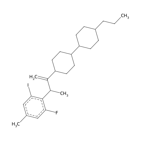 C=C(C1CCC(C2CCC(CCC)CC2)CC1)C(C)c1c(F)cc(C)cc1I